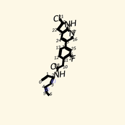 C=C/C(=C\C=C/C)NC(=O)Cc1ccc(-c2cnc3[nH]c(Cl)cc3c2)cc1F